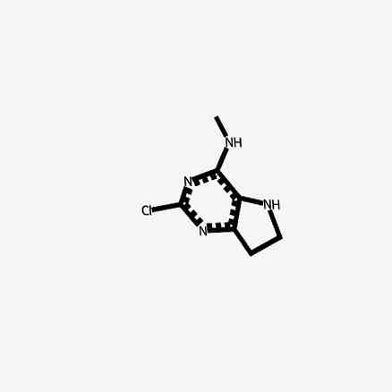 CNc1nc(Cl)nc2c1NCC2